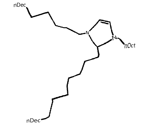 CCCCCCCCCCCCCCCCCC1N(CCCCCCCC)C=CN1CCCCCCCCCCCCCCC